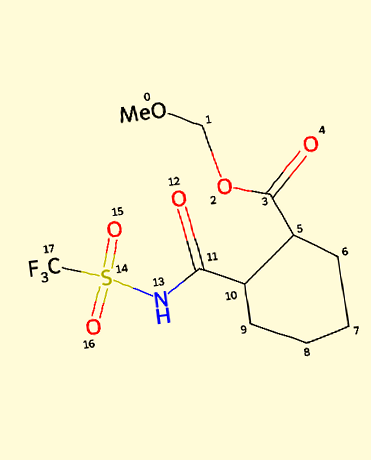 COCOC(=O)C1CCCCC1C(=O)NS(=O)(=O)C(F)(F)F